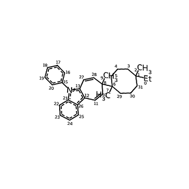 CCC1(C)CCCC(C)(C2(C)C=Cc3c(n(-c4ccccc4)c4ccccc34)C=C2)CCC1